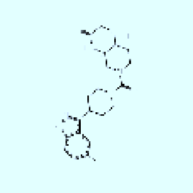 O=C1CO[C@H]2CCN(C(=O)N3CCC(c4noc5ccc(F)cc45)CC3)C[C@H]2N1